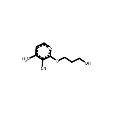 N#Cc1c(N)ccnc1OCCCO